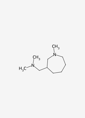 CN(C)CC1CCCCN(C)C1